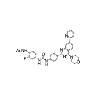 CC(=O)Nc1ccc(NC(=O)Nc2ccc(-c3nc(N4CCOCC4)c4ccc(-c5ccccn5)cc4n3)cc2)cc1F